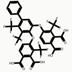 O=C(O)c1ccc(Oc2cc(-c3ccccc3)c(C(F)(F)F)c(C(F)(F)F)c2Oc2ccc(C(=O)O)c(C(=O)O)c2C(F)(F)F)c(C(F)(F)F)c1C(=O)O